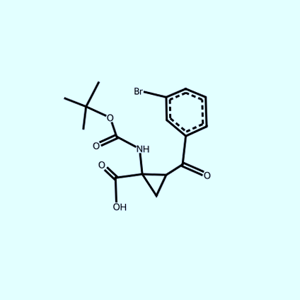 CC(C)(C)OC(=O)NC1(C(=O)O)CC1C(=O)c1cccc(Br)c1